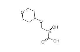 O=C(O)[C@H](O)COC1CCOCC1